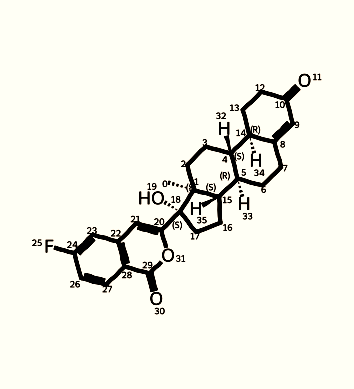 C[C@]12CC[C@H]3[C@@H](CCC4=CC(=O)CC[C@@H]43)[C@@H]1CC[C@@]2(O)c1cc2cc(F)ccc2c(=O)o1